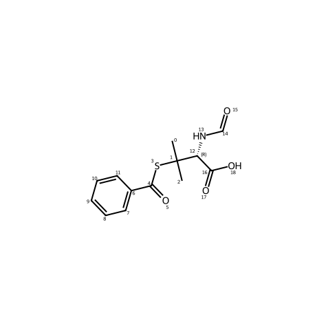 CC(C)(SC(=O)c1ccccc1)[C@H](NC=O)C(=O)O